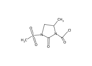 CC1CN(S(C)(=O)=O)C(=O)N1C(=O)Cl